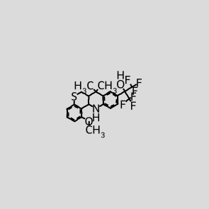 COc1cccc2c1C1Nc3ccc(C(O)(C(F)(F)F)C(F)(F)F)cc3C(C)(C)C1CS2